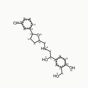 OCc1cc(C(O)CNCC2CCC(c3cccc(Cl)c3)O2)ccc1O